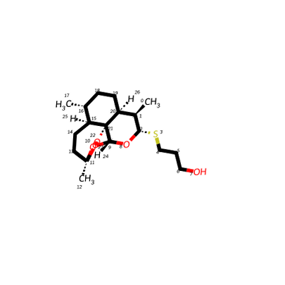 C[C@H]1[C@H](SCCCO)O[C@@H]2O[C@]3(C)CC[C@H]4[C@H](C)CC[C@@H]1[C@@]24OO3